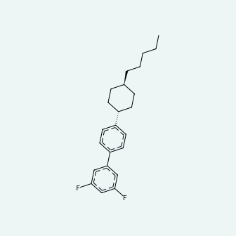 CCCCC[C@H]1CC[C@H](c2ccc(-c3cc(F)cc(F)c3)cc2)CC1